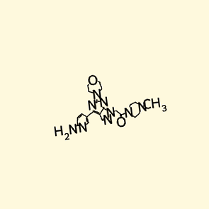 CN1CCN(C(=O)Cn2ncc3c(-c4ccc(N)nc4)nc(N4CCOCC4)nc32)CC1